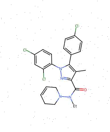 CCN(C(=O)c1nn(-c2ccc(Cl)cc2Cl)c(-c2ccc(Cl)cc2)c1C)N1CC=CCC1